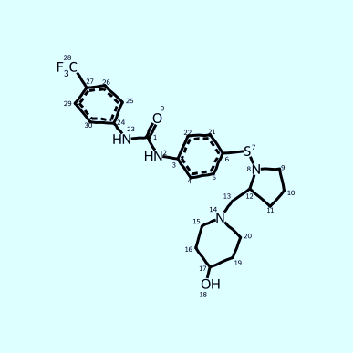 O=C(Nc1ccc(SN2CCCC2CN2CCC(O)CC2)cc1)Nc1ccc(C(F)(F)F)cc1